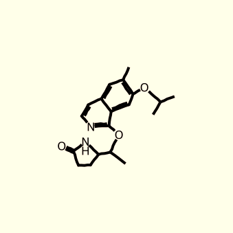 Cc1cc2ccnc(OC(C)C3CCC(=O)N3)c2cc1OC(C)C